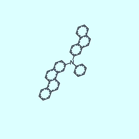 c1ccc(N(c2ccc3c(ccc4ccccc43)c2)c2ccc3ccc4c5ccccc5ccc4c3c2)cc1